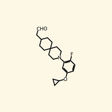 O=CCC1CCC2(CC1)CCN(c1cc(OC3CC3)ccc1F)CC2